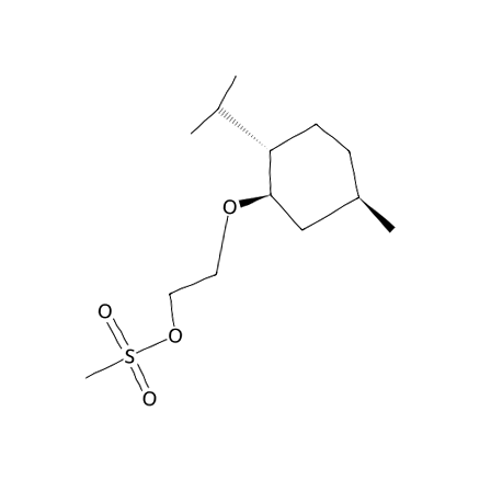 CC(C)[C@@H]1CC[C@@H](C)C[C@H]1OCCOS(C)(=O)=O